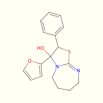 OC1(c2ccco2)C(c2ccccc2)SC2=NCCCCN21